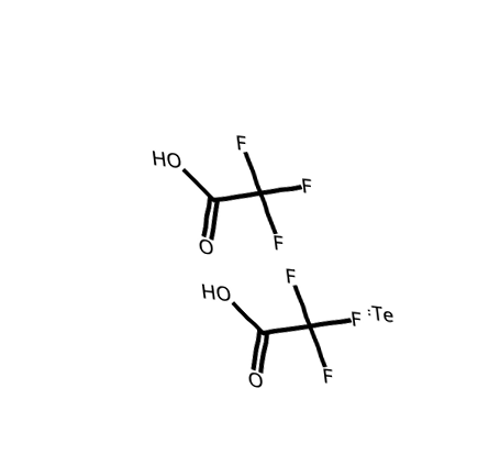 O=C(O)C(F)(F)F.O=C(O)C(F)(F)F.[Te]